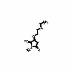 CN1C(=O)CC(SCCOCN)C1=O